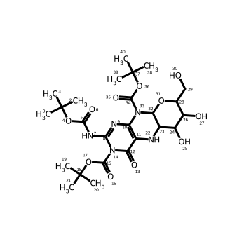 CC(C)(C)OC(=O)Nc1nc2c(c(=O)n1C(=O)OC(C)(C)C)NC1C(O)C(O)C(CO)OC1N2C(=O)OC(C)(C)C